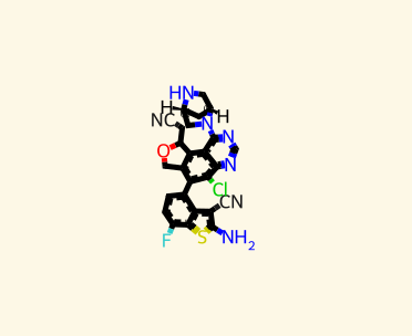 N#CCC1OCc2c(-c3ccc(F)c4sc(N)c(C#N)c34)c(Cl)c3ncnc(N4C[C@H]5C[C@@H]4CN5)c3c21